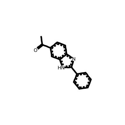 CC(=O)c1ccc2nc(-c3ccccc3)[nH]c2c1